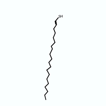 CCCCCCCCCCCCCCCCCCC=CS